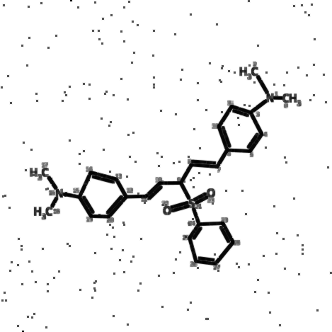 CN(C)c1ccc(C=CC(C=Cc2ccc(N(C)C)cc2)S(=O)(=O)c2ccccc2)cc1